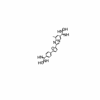 Cc1cc(C(=N)NO)cn2cc(-c3ccc(-c4ccc(C(=N)NO)cc4)o3)nc12